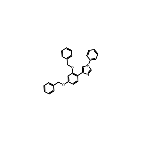 c1ccc(COc2ccc(-c3cn(-c4ccccc4)cn3)c(OCc3ccccc3)c2)cc1